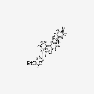 CCOC(=O)CN(C)CCC(Oc1ccc(C(F)(F)c2ccc(C)cc2)cc1)c1ccccc1